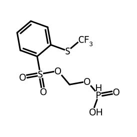 O=[PH](O)OCOS(=O)(=O)c1ccccc1SC(F)(F)F